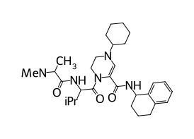 CNC(C)C(=O)NC(C(=O)N1CCN(C2CCCCC2)C=C1C(=O)NC1CCCc2ccccc21)C(C)C